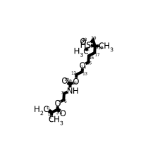 C=C(C)C(=O)OCCNC(=O)OCCOCCCC1(C)C[SH]1(C)=O